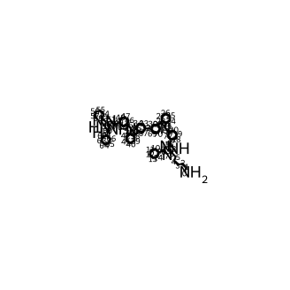 N/C=C\C=C/CC1=NC(c2ccccc2)=NC(c2cccc(-n3c4ccccc4c4cc(-c5ccc6c(c5)c5ccccc5n6-c5cccc(C6=NC(C7C=CC=CN7)NC(c7ccccc7)N6)c5)ccc43)c2)N1